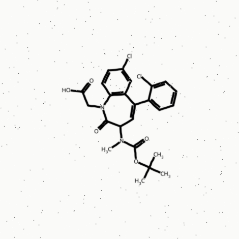 CN(C(=O)OC(C)(C)C)C1C=C(c2ccccc2Cl)c2cc(Cl)ccc2N(CC(=O)O)C1=O